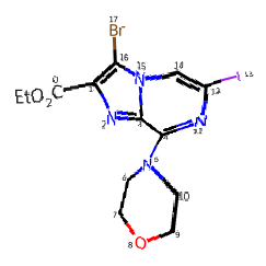 CCOC(=O)c1nc2c(N3CCOCC3)nc(I)cn2c1Br